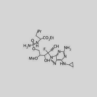 C#CC(F)(C(O)C(COP(N)(=O)NC(CC(C)C)C(=O)OCC)OC)n1cnc2c(NC3CC3)nc(N)nc21